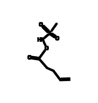 C=CCCC(=O)ONS(C)(=O)=O